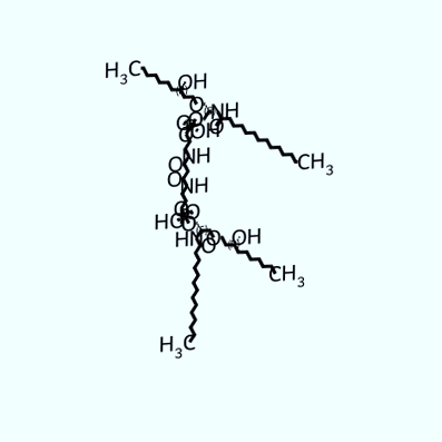 CCCCCCCCCCCCCC(=O)N[C@@H](COCC[C@H](O)CCCCCCC)COP(=O)(O)OCCNC(=O)CC(=O)NCCOP(=O)(O)OC[C@H](COCC[C@H](O)CCCCCCC)NC(=O)CCCCCCCCCCCCC